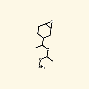 CC(O[SiH3])OC(C)C1CCC2OC2C1